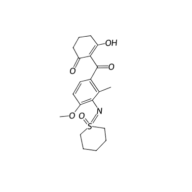 COc1ccc(C(=O)C2=C(O)CCCC2=O)c(C)c1N=S1(=O)CCCCC1